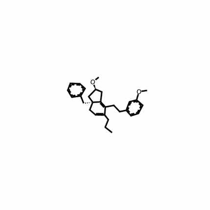 CCCC1=CC[C@@]2(Cc3ccccc3)C[C@@H](OC)CC2=C1CCc1cccc(OC)c1